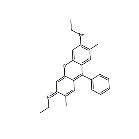 CC/N=c1/cc2oc3cc(NCC)c(C)cc3c(-c3ccccc3)c-2cc1C